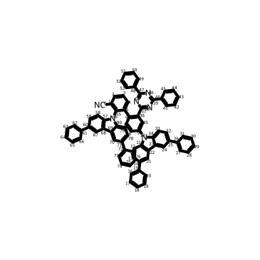 N#Cc1cccc(-c2ccc(-n3c4ccc(-c5ccccc5)cc4c4cc(-c5ccccc5)ccc43)cc2-c2nc(-c3ccccc3)nc(-c3ccccc3)n2)c1-n1c2ccc(-c3ccccc3)cc2c2cc(-c3ccccc3)ccc21